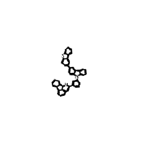 c1cc(-c2cc3cccc4c3c(n2)-c2ccccc2-4)cc(-n2c3ccccc3c3cc(-c4ccc5sc6ccccc6c5c4)ccc32)c1